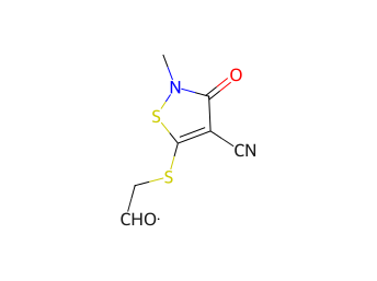 Cn1sc(SC[C]=O)c(C#N)c1=O